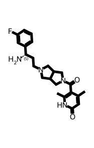 Cc1cc(=O)[nH]c(C)c1C(=O)N1CC2CN(CC[C@H](N)c3cccc(F)c3)CC2C1